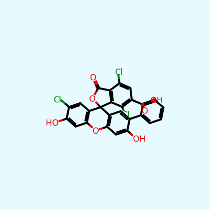 O=C(O)c1cc(Cl)c2c(c1Cl)C1(OC2=O)c2cc(Cl)c(O)cc2Oc2cc(O)c(-c3ccccc3)cc21